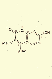 COc1c(OC(C)=O)c2ccc(O)cc2oc1=O